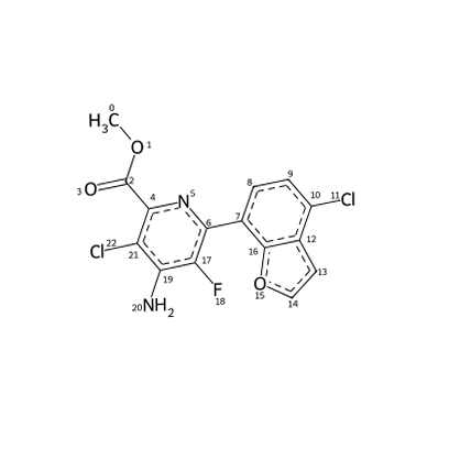 COC(=O)c1nc(-c2ccc(Cl)c3ccoc23)c(F)c(N)c1Cl